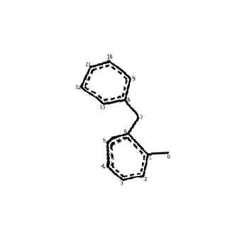 Cc1ccc[c]c1Cc1ccccc1